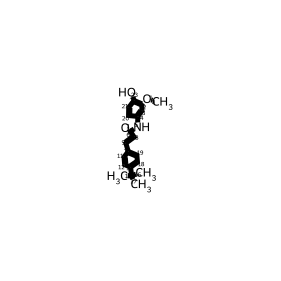 COc1cc(NC(=O)C=Cc2ccc(C(C)(C)C)cc2)ccc1O